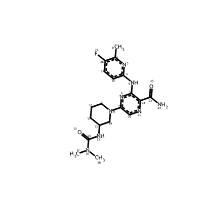 Cc1nc(Nc2nc(N3CCCC(NC(=O)N(C)C)C3)cnc2C(N)=O)ccc1F